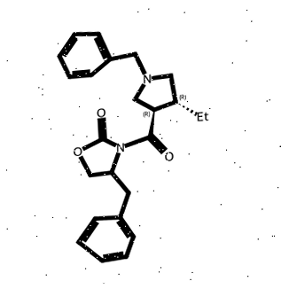 CC[C@H]1CN(Cc2ccccc2)C[C@@H]1C(=O)N1C(=O)OCC1Cc1ccccc1